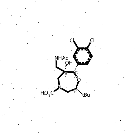 CC(=O)NC[C@]1(O)CN(C(=O)O)C[C@@H](C(C)(C)C)O[C@H]1c1ccc(Cl)c(Cl)c1